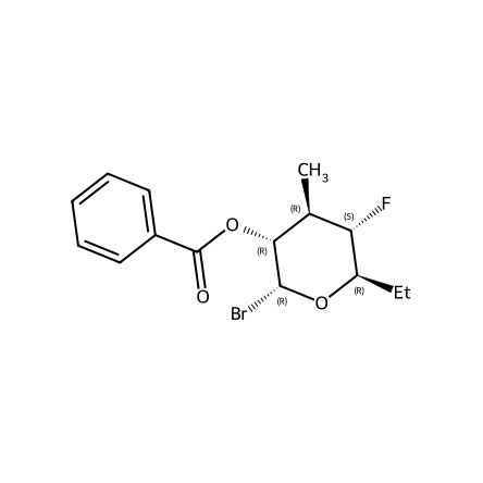 CC[C@H]1O[C@H](Br)[C@H](OC(=O)c2ccccc2)[C@@H](C)[C@@H]1F